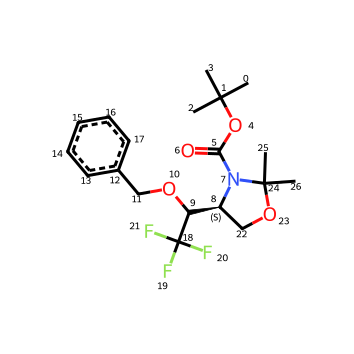 CC(C)(C)OC(=O)N1[C@H](C(OCc2ccccc2)C(F)(F)F)COC1(C)C